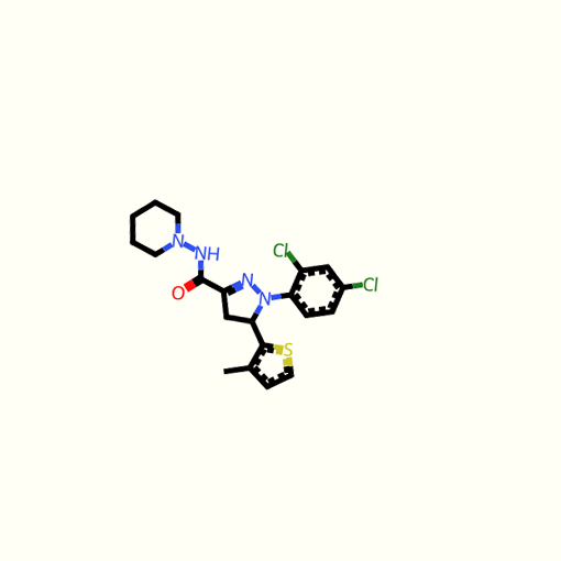 Cc1ccsc1C1CC(C(=O)NN2CCCCC2)=NN1c1ccc(Cl)cc1Cl